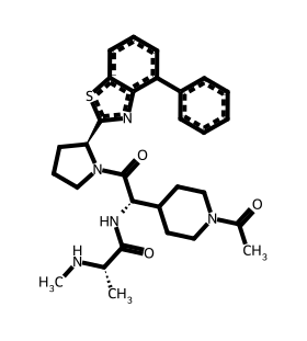 CN[C@@H](C)C(=O)N[C@H](C(=O)N1CCC[C@H]1c1nc2c(-c3ccccc3)cccc2s1)C1CCN(C(C)=O)CC1